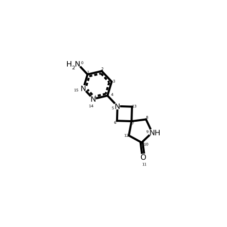 Nc1ccc(N2CC3(CNC(=O)C3)C2)nn1